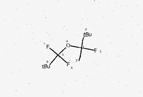 CC(C)(C)C(C)(F)OC(F)(F)C(C)(C)C